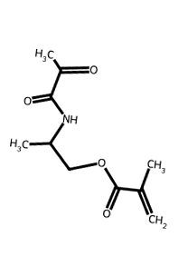 C=C(C)C(=O)OCC(C)NC(=O)C(C)=O